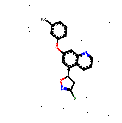 FC(F)(F)c1cccc(Oc2cc([C@H]3CC(Br)=NO3)c3cccnc3c2)c1